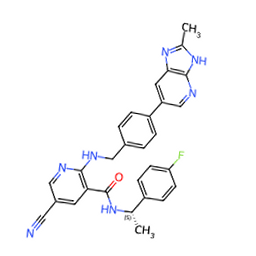 Cc1nc2cc(-c3ccc(CNc4ncc(C#N)cc4C(=O)N[C@@H](C)c4ccc(F)cc4)cc3)cnc2[nH]1